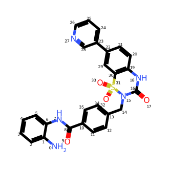 Nc1ccccc1NC(=O)c1ccc(CN2C(=O)Nc3ccc(-c4cccnc4)cc3S2(=O)=O)cc1